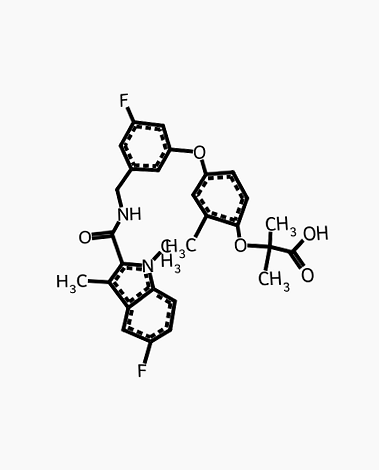 Cc1cc(Oc2cc(F)cc(CNC(=O)c3c(C)c4cc(F)ccc4n3C)c2)ccc1OC(C)(C)C(=O)O